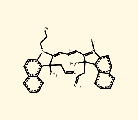 C=CCC1(C)C(/C=C/C=C2/N(CCC(C)C)c3ccc4ccccc4c3C2(C)CC=C)=[N+](CC)c2ccc3ccccc3c21